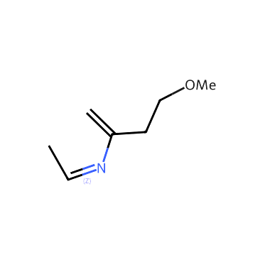 C=C(CCOC)/N=C\C